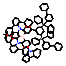 CC(C)(C)c1cc2c3c(c1)N(c1c(-c4ccccc4)cccc1-c1ccccc1)c1cc(-n4c5ccccc5c5ccccc54)ccc1B3c1cc(-c3cc([Si](c4ccccc4)(c4ccccc4)c4cccc(-c5ccccc5)c4)cc([Si](c4ccccc4)(c4ccccc4)c4cccc(-c5ccccc5)c4)c3)ccc1N2c1c(-c2ccccc2)cccc1-c1ccccc1